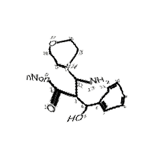 CCCCCCCCCC(=O)C(C(O)c1ccccc1)C(N)N1CCOCC1